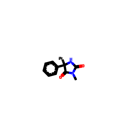 CC(C)C1(c2ccccc2)NC(=O)N(C)C1=O